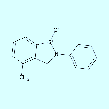 Cc1cccc2c1CN(c1ccccc1)[S+]2[O-]